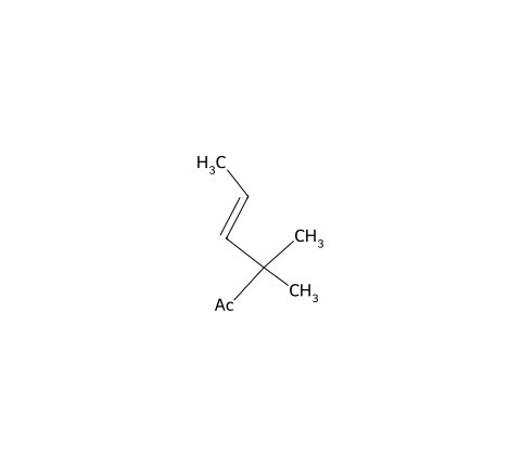 C/C=C/C(C)(C)C(C)=O